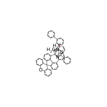 C=Nc1cc(-c2cccc3c2-c2c(-c4nc(-c5ccccc5)nc(-c5cccc(-c6ccccc6)c5)n4)cccc2C32c3ccccc3Oc3ccccc32)ccc1/C=C\C